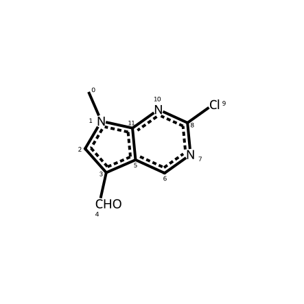 Cn1cc(C=O)c2cnc(Cl)nc21